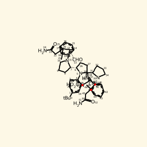 CC(C)(C)c1ccc(N2[C@H](C3CCCN3[C@]3(C=O)c4ccc(cn4)C3(C)CC(N)=O)CCC2(NC(=O)O)C2CCCN2[C@]2(C(=O)NC(=O)O)c3ccc(cn3)C2(C)CC(N)=O)cc1